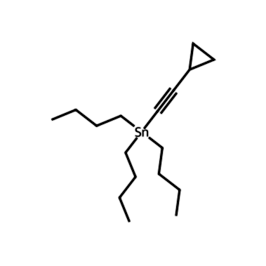 CCC[CH2][Sn]([C]#CC1CC1)([CH2]CCC)[CH2]CCC